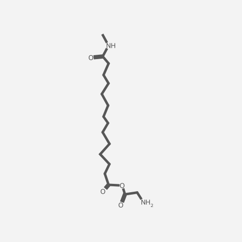 CNC(=O)CCCCCCCCCCCCC(=O)OC(=O)CN